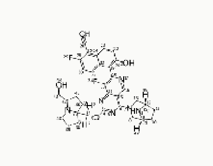 [2H]C([2H])(Oc1nc(N2C[C@H]3CC[C@@H](C2)N3)c2cnc(-c3c(O)ccc4c(C#C)c(F)ccc34)c(F)c2n1)C12CCCN1C(CO)CC2